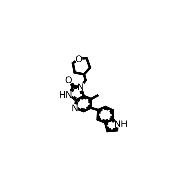 Cc1c(-c2ccc3[nH]ccc3c2)cnc2[nH]c(=O)n(CC3CCOCC3)c12